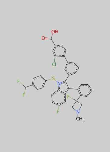 CN1CC(F)(c2ccccc2-c2c(-c3cccc(-c4ccc(C(=O)O)cc4Cl)c3)n(Sc3ccc(C(F)F)cc3)c3ccc(F)cc23)C1